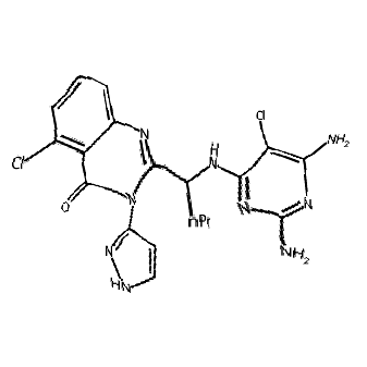 CCCC(Nc1nc(N)nc(N)c1Cl)c1nc2cccc(Cl)c2c(=O)n1-c1cc[nH]n1